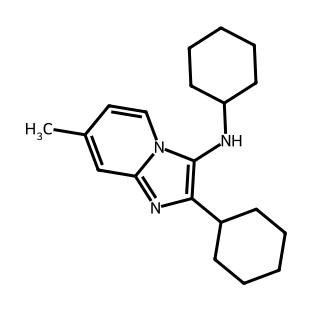 Cc1ccn2c(NC3CCCCC3)c(C3CCCCC3)nc2c1